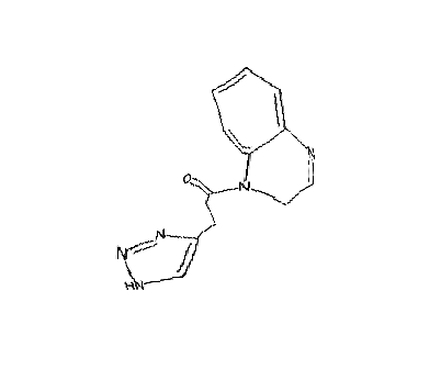 O=C(Cc1c[nH]nn1)N1CC=Nc2ccccc21